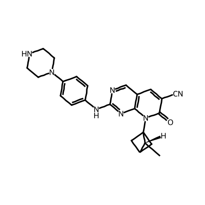 C[C@@H]1C2CC1(n1c(=O)c(C#N)cc3cnc(Nc4ccc(N5CCNCC5)cc4)nc31)C2